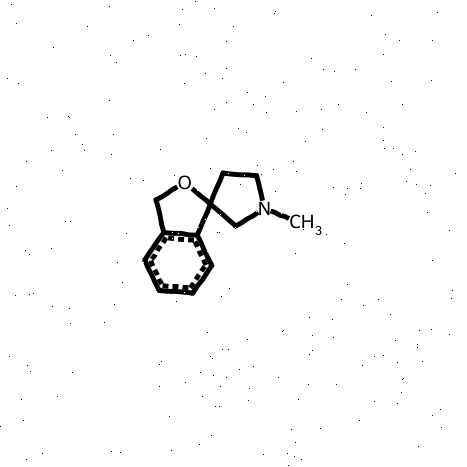 CN1CCC2(C1)OCc1ccccc12